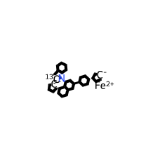 [Fe+2].c1cc[cH-]c1.c1ccc(-c2cc(-n3c4ccccc4c[13c]3-[c-]3cccc3)c3ccccc3c2)cc1